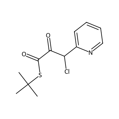 CC(C)(C)SC(=O)C(=O)C(Cl)c1ccccn1